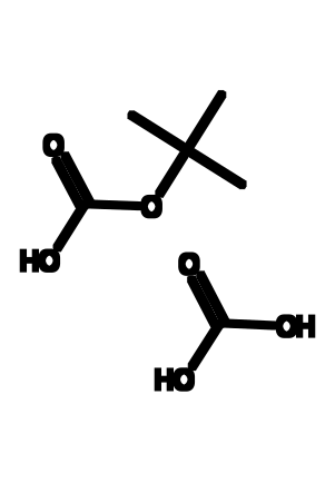 CC(C)(C)OC(=O)O.O=C(O)O